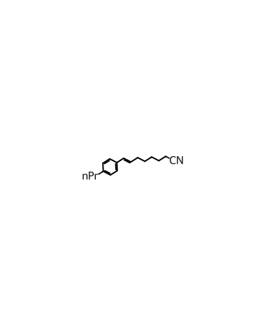 CCCc1ccc(C=CCCCCCC#N)cc1